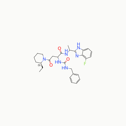 CC[C@H]1CCCCN1C(=O)CC(NC(=O)NCc1ccccc1)C(=O)NC(C)c1nc2c(F)cccc2[nH]1